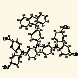 CC(C)(C)c1ccc2c(c1)c1cc(C(C)(C)C)ccc1n2-c1ccc2c3ccc(-n4c5ccc(C(C)(C)C)cc5c5cc(C(C)(C)C)ccc54)cc3n(-c3ccc(-c4c5ccccc5cc5ccccc45)cc3)c2c1